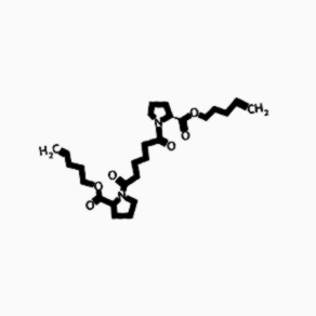 C=CCCCOC(=O)C1CCCN1C(=O)CCCCC(=O)N1CCC[C@@H]1C(=O)OCCCC=C